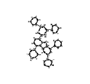 c1ccc(-c2cc(-c3ccccc3)c3oc4c(-c5nc(-c6ccccc6)nc(-c6ccccc6)n5)ccc(-c5ccncc5)c4c3c2)cc1